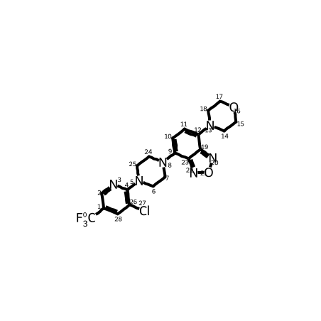 FC(F)(F)c1cnc(N2CCN(c3ccc(N4CCOCC4)c4nonc34)CC2)c(Cl)c1